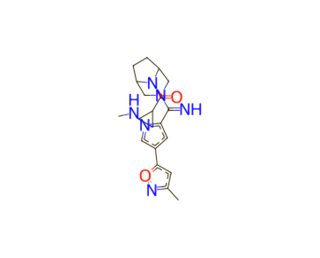 CNn1cc(-c2cc(C)no2)cc1C(=N)N1CC2CCC(C1)N2C(=O)C1CC1